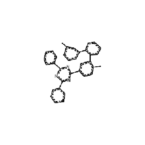 Cc1cccc(-c2ccccc2-c2cc(-c3nc(-c4ccccc4)nc(-c4ccccc4)n3)ccc2C)c1